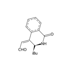 CC[C@H](C)[C@@H]1NC(=O)c2ccccc2/C1=C/C=O